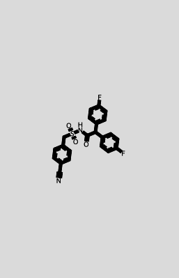 N#Cc1ccc(CS(=O)(=O)NC(=O)C(c2ccc(F)cc2)c2ccc(F)cc2)cc1